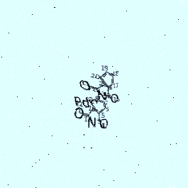 O=C1[N-]C(=O)c2ccccc21.O=C1[N-]C(=O)c2ccccc21.[Pd+2]